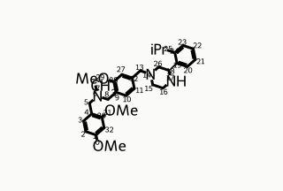 COc1ccc(CN(C)Cc2ccc(CN3CCN[C@H](c4ccccc4C(C)C)C3)cc2OC)c(OC)c1